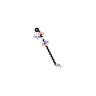 CCCCCCCCCCCCCCCCOC(=O)NCCSC[C@H](N)C(=O)OCc1ccccc1